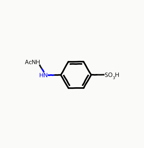 CC(=O)NNc1ccc(S(=O)(=O)O)cc1